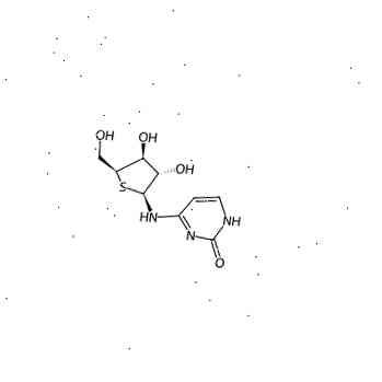 O=c1nc(N[C@H]2S[C@@H](CO)[C@@H](O)[C@@H]2O)cc[nH]1